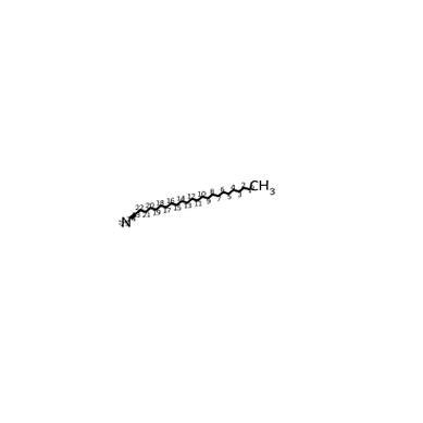 CCCCCCCCCCCCCCCCCCCCCCCC#C[N]